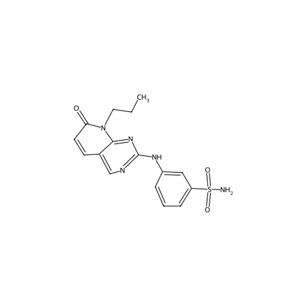 CCCn1c(=O)ccc2cnc(Nc3cccc(S(N)(=O)=O)c3)nc21